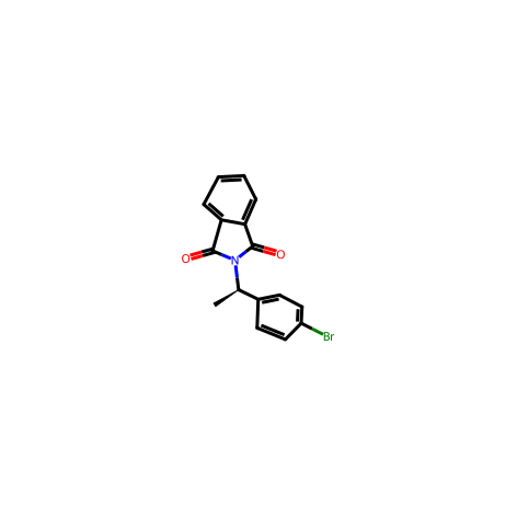 C[C@H](c1ccc(Br)cc1)N1C(=O)c2ccccc2C1=O